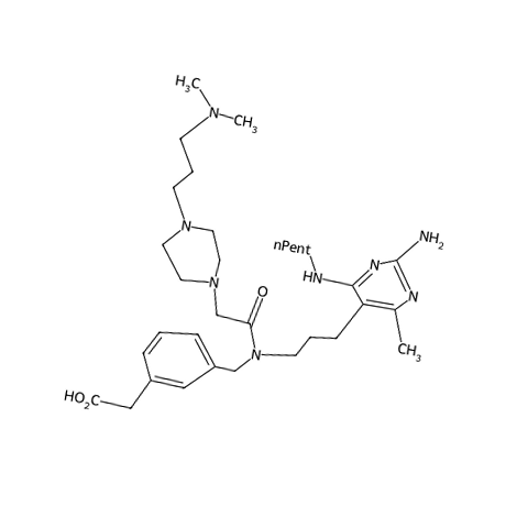 CCCCCNc1nc(N)nc(C)c1CCCN(Cc1cccc(CC(=O)O)c1)C(=O)CN1CCN(CCCN(C)C)CC1